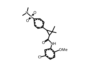 COc1ccc(Cl)cc1NC(=O)C1C(c2ccc(S(=O)(=O)N(C)C)cc2)C1(C)C